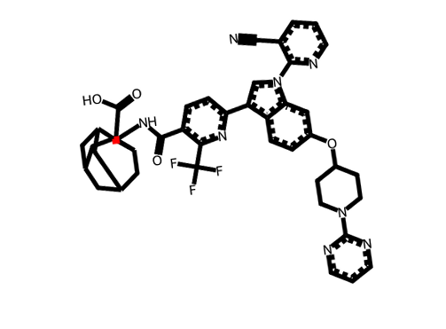 N#Cc1cccnc1-n1cc(-c2ccc(C(=O)NC3(C(=O)O)C4CCC5CC(C4)CC3C5)c(C(F)(F)F)n2)c2ccc(OC3CCN(c4ncccn4)CC3)cc21